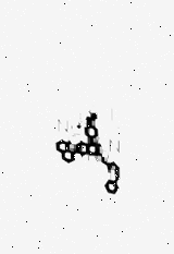 C=CC(=O)N1CCN(c2c(C#N)c(OCC3CCN(Cc4ccccc4)C3)nc3c2CCN(c2cccc4cccc(C)c24)C3)C[C@@H]1CC#N